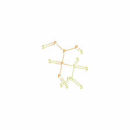 S=PP(P=S)P(=S)(P=S)S(=S)(=S)[SH](=S)=S